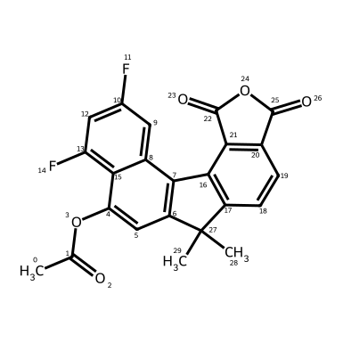 CC(=O)Oc1cc2c(c3cc(F)cc(F)c13)-c1c(ccc3c1C(=O)OC3=O)C2(C)C